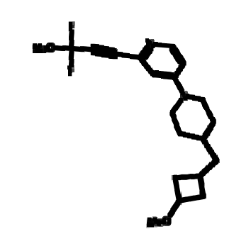 COC1CC(CC2CCN(c3ccnc(C#CC(F)(F)OC)c3)CC2)C1